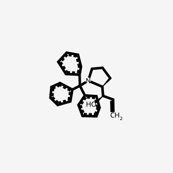 C=C[C@@H](O)[C@@H]1CCCN1C(c1ccccc1)(c1ccccc1)c1ccccc1